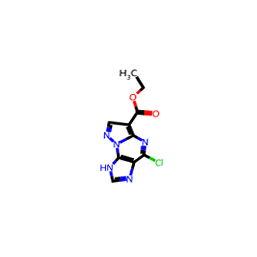 CCOC(=O)c1cnn2c1nc(Cl)c1nc[nH]c12